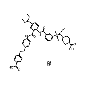 CCN(CC)c1ccc(NC(=O)c2cccc(S(=O)(=O)N(CC)C3CCC(C(=O)O)CC3)c2)c(C(=O)Nc2ccc(CCc3ccc(C(=O)O)cc3)cc2)c1.[KH].[KH]